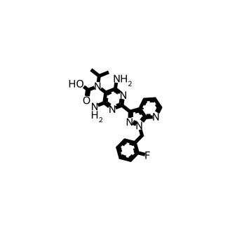 CC(C)N(C(=O)O)c1c(N)nc(-c2nn(Cc3ccccc3F)c3ncccc23)nc1N